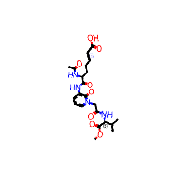 COC(=O)[C@@H](NC(=O)Cn1cccc(NC(=O)C(CC/C=C/C(=O)O)NC(C)=O)c1=O)C(C)C